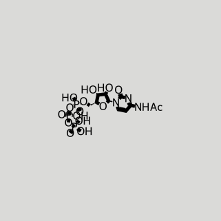 CC(=O)Nc1ccn([C@@H]2O[C@H](COP(=O)(O)OP(=O)(O)OP(=O)(O)O)[C@H](O)C2O)c(=O)n1